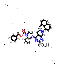 Cc1cccc2cccc(N3CCc4c(nc(C(=O)O)nc4N4CCN(C(=O)OCc5ccccc5)C(CC#N)C4)C3)c12